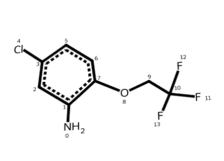 Nc1cc(Cl)ccc1OCC(F)(F)F